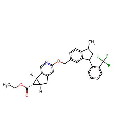 CCOC(=O)[C@H]1[C@@H]2Cc3cc(OCc4ccc5c(c4)C(c4ccccc4C(F)(F)F)CC5C)ncc3[C@@H]21